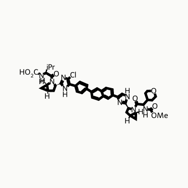 COC(=O)N[C@H](C(=O)N1[C@@H]2C[C@@H]2C[C@H]1c1nc(-c2ccc3cc(-c4ccc(-c5[nH]c([C@@H]6C[C@H]7C[C@H]7N6C(=O)[C@@H](NC(=O)O)C(C)C)nc5Cl)cc4)ccc3c2)c[nH]1)C1CCOCC1